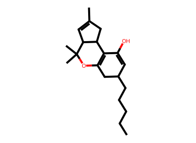 CCCCCC1C=C(O)C2=C(C1)OC(C)(C)C1C=C(C)CC21